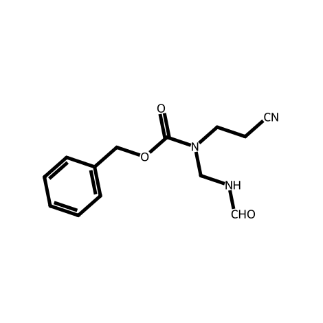 N#CCCN(CNC=O)C(=O)OCc1ccccc1